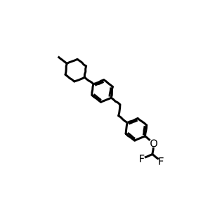 CC1CCC(c2ccc(CCc3ccc(OC(F)F)cc3)cc2)CC1